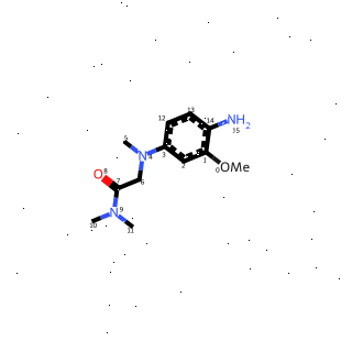 COc1cc(N(C)CC(=O)N(C)C)ccc1N